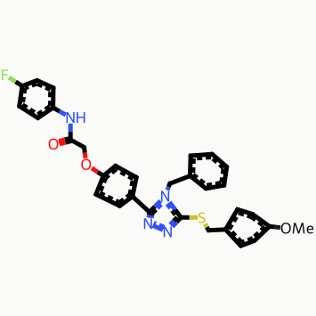 COc1ccc(CSc2nnc(-c3ccc(OCC(=O)Nc4ccc(F)cc4)cc3)n2Cc2ccccc2)cc1